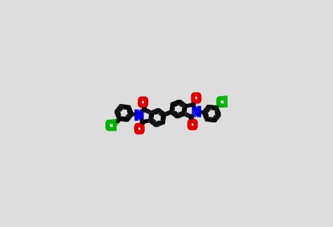 O=C1c2ccc(-c3ccc4c(c3)C(=O)N(c3cccc(Cl)c3)C4=O)cc2C(=O)N1c1cccc(Cl)c1